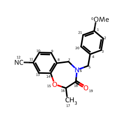 COc1ccc(CN2Cc3ccc(C#N)cc3OC(C)C2=O)cc1